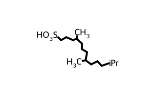 CC(C)CCCC(C)CCCC(C)CCCS(=O)(=O)O